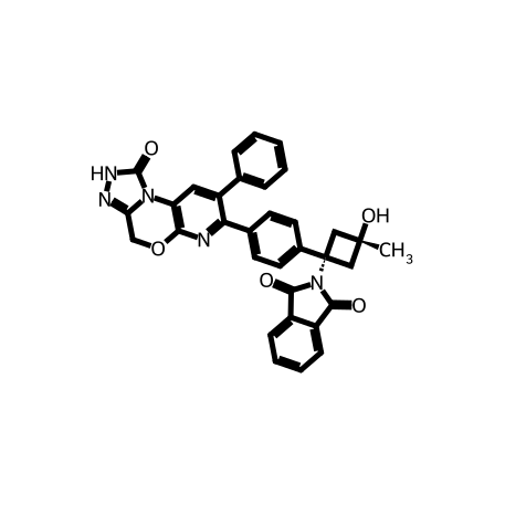 C[C@]1(O)C[C@@](c2ccc(-c3nc4c(cc3-c3ccccc3)-n3c(n[nH]c3=O)CO4)cc2)(N2C(=O)c3ccccc3C2=O)C1